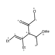 CC/C=C(\CC)N(C(=O)CCl)C(C)OC